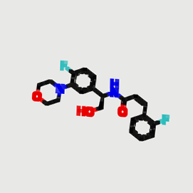 O=C(/C=C\c1ccccc1F)N[C@@H](CO)c1ccc(F)c(N2CCOCC2)c1